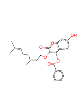 CC(C)=CCCC(C)=CCOc1c(OC(=O)c2ccccc2)c2ccc(O)cc2oc1=O